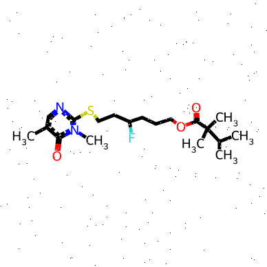 Cc1cnc(SCCC(F)CCCOC(=O)C(C)(C)C(C)C)n(C)c1=O